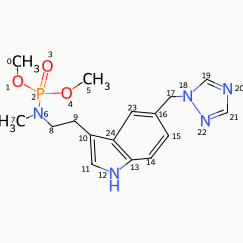 COP(=O)(OC)N(C)CCc1c[nH]c2ccc(Cn3cncn3)cc12